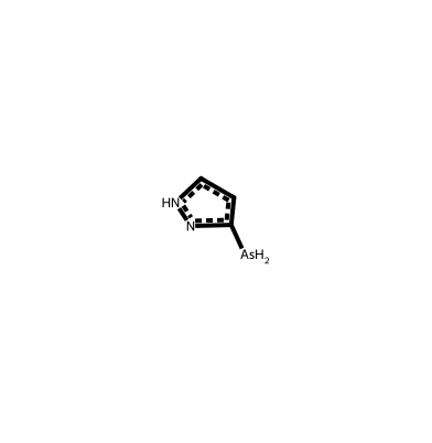 [AsH2]c1cc[nH]n1